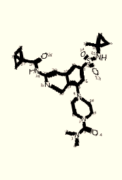 CN(C)C(=O)N1CCN(c2cc(S(=O)(=O)NC3(C)CC3)cc3cc(NC(=O)C45CC4C5)ncc23)CC1